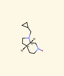 IN1CC[C@@H]2CCN(CC3CC3)[C@@H]2C1